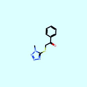 Cn1nnnc1SCC(=O)c1ccccc1